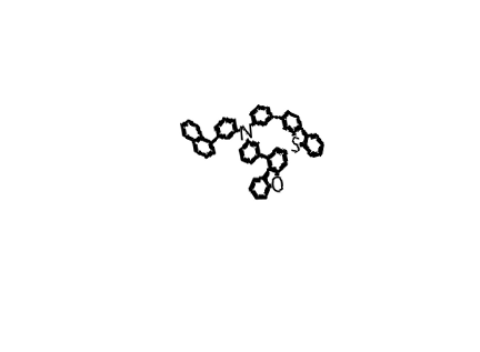 c1cc(-c2ccc3c(c2)sc2ccccc23)cc(N(c2cccc(-c3cccc4ccccc34)c2)c2cccc(-c3cccc4oc5ccccc5c34)c2)c1